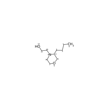 CCCCC1COCCN1CCO